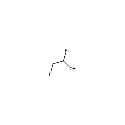 CCC(O)CF